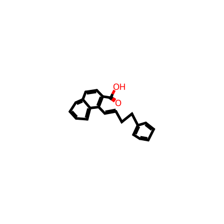 O=C(O)c1ccc2ccccc2c1/C=C/CCc1ccccc1